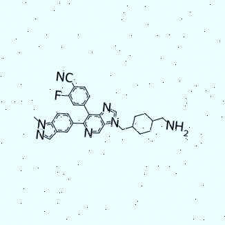 Cn1ncc2cc(-c3ncc4c(ncn4CC4CCC(CN)CC4)c3-c3ccc(C#N)c(F)c3)ccc21